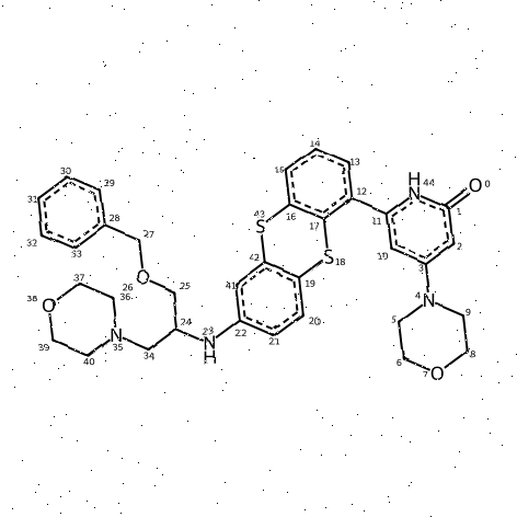 O=c1cc(N2CCOCC2)cc(-c2cccc3c2Sc2ccc(NC(COCc4ccccc4)CN4CCOCC4)cc2S3)[nH]1